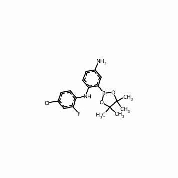 CC1(C)OB(c2cc(N)ccc2Nc2ccc(Cl)cc2F)OC1(C)C